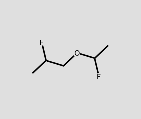 CC(F)COC(C)F